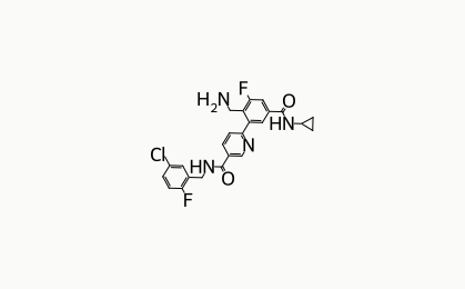 NCc1c(F)cc(C(=O)NC2CC2)cc1-c1ccc(C(=O)NCc2cc(Cl)ccc2F)cn1